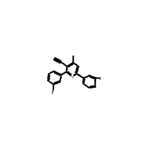 C#Cc1c(C)cc(-c2cccc(F)c2)nc1-c1cccc(F)c1